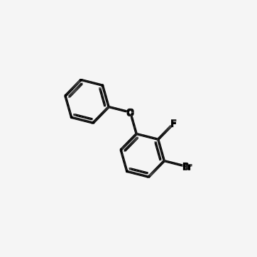 Fc1c(Br)cccc1Oc1ccccc1